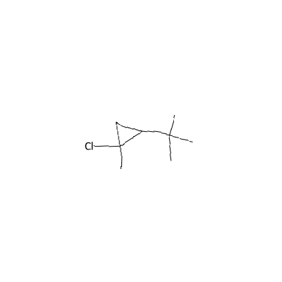 CC(C)(C)C1CC1(C)Cl